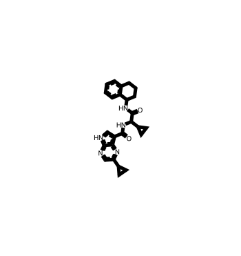 O=C(NC(C(=O)NC1CCCc2ccccc21)C1CC1)c1c[nH]c2ncc(C3CC3)nc12